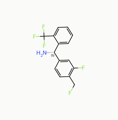 N[C@@H](c1ccc(CF)c(F)c1)c1ccccc1C(F)(F)F